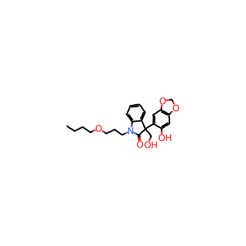 CCCCOCCCN1C(=O)C(CO)(c2cc3c(cc2O)OCO3)c2ccccc21